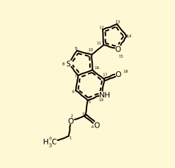 CCOC(=O)c1cc2scc(-c3ccco3)c2c(=O)[nH]1